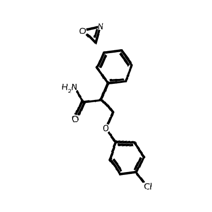 C1=NO1.NC(=O)C(COc1ccc(Cl)cc1)c1ccccc1